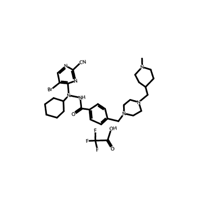 CN1CCC(CN2CCN(Cc3ccc(C(=O)NN(c4nc(C#N)ncc4Br)C4CCCCC4)cc3)CC2)CC1.O=C(O)C(F)(F)F